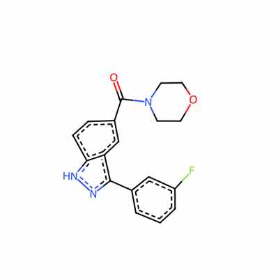 O=C(c1ccc2[nH]nc(-c3cccc(F)c3)c2c1)N1CCOCC1